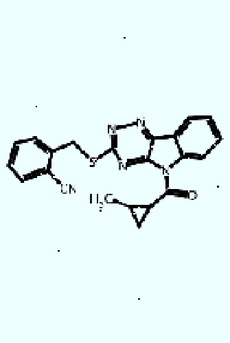 C[C@@H]1CC1C(=O)n1c2ccccc2c2nnc(SCc3ccccc3C#N)nc21